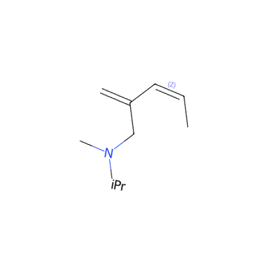 C=C(/C=C\C)CN(C)C(C)C